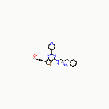 C[C@H](O)C#Cc1csc2c(NC[C@H](N)Cc3ccccc3)nc(-c3ccncc3)nc12